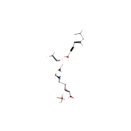 C/C(Br)=C\[C@H](Cc1nc(CCC2=CC(=O)OC(C)(C)O2)cs1)OC(=O)C#C/C=C(\C)CC(C)C